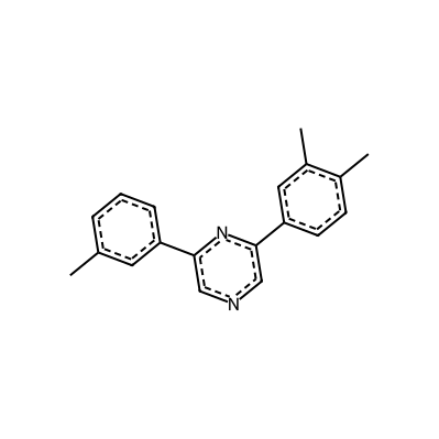 Cc1cccc(-c2cncc(-c3ccc(C)c(C)c3)n2)c1